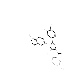 Cn1ncc2cc(-n3c(-c4ccc(C#N)c(F)c4)nc(C(=O)N4CCC[C@@H](N)C4)c3C(F)(F)F)ccc21